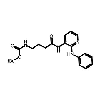 CC(C)(C)OC(=O)NCCCC(=O)Nc1cccnc1Nc1ccccc1